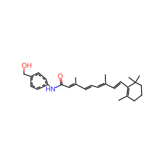 CC1=C(/C=C/C(C)=C/C=C/C(C)=C/C(=O)Nc2ccc(CO)cc2)C(C)(C)CCC1